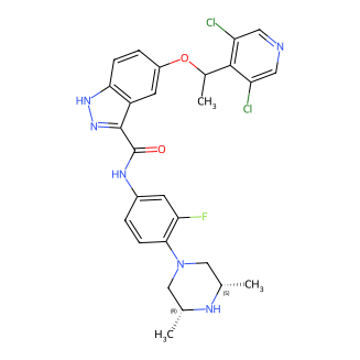 CC(Oc1ccc2[nH]nc(C(=O)Nc3ccc(N4C[C@@H](C)N[C@@H](C)C4)c(F)c3)c2c1)c1c(Cl)cncc1Cl